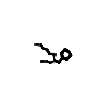 COC[C@@H](Cc1ccccc1)NCCCS(=O)(=O)O